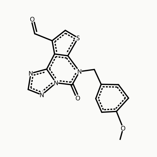 COc1ccc(Cn2c(=O)n3ncnc3c3c(C=O)csc32)cc1